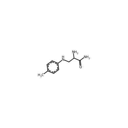 Cc1ccc(NCC(N)C(N)=O)cc1